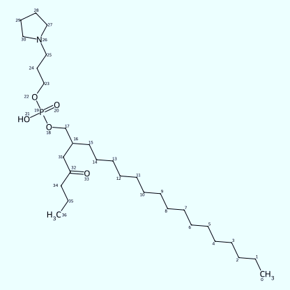 CCCCCCCCCCCCCCCCC(COP(=O)(O)OCCCN1CCCC1)CC(=O)CCC